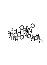 [2H]c1c([2H])c([2H])c(-c2cccc(Nc3ccc(C(C)(C)C)cc3-c3nc(-c4ccccc4)nc(-c4ccccc4)n3)c2)c([2H])c1[2H]